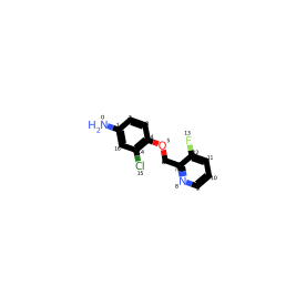 Nc1ccc(OCc2ncccc2F)c(Cl)c1